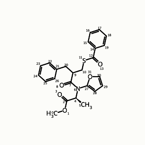 COC(=O)[C@H](C)N(C(=O)C(CSC(=O)c1ccccc1)Cc1ccccc1)c1ccco1